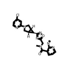 C=Nc1ncccc1C(=O)N(C)Cc1nc([C@H]2[C@@H]3CN(c4cc(Cl)ccn4)C[C@@H]32)no1